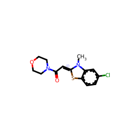 CN1/C(=C/C(=O)N2CCOCC2)Sc2ccc(Cl)cc21